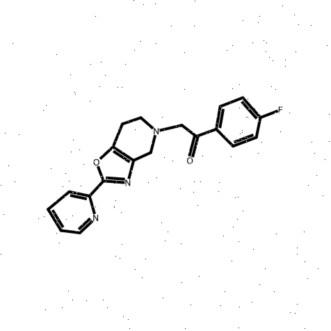 O=C(CN1CCc2oc(-c3ccccn3)nc2C1)c1ccc(F)cc1